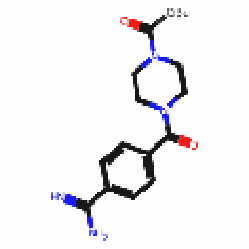 CC(C)COC(=O)N1CCN(C(=O)c2ccc(C(=N)N)cc2)CC1